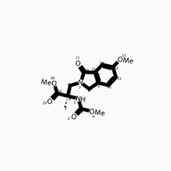 COC(=O)N[C@](C)(CN1Cc2ccc(OC)cc2C1=O)C(=O)OC